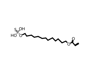 C=CC(=O)OCCCCCCCCCCCCCOP(O)(O)=S